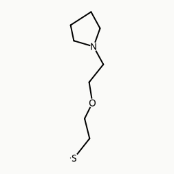 [S]CCOCCN1CCCC1